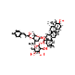 CC(=O)OC1C(OC(=O)/C=C/c2ccc(C)cc2)C(C)OC(OC(=O)[C@]23CCC(C)(C)C[C@H]2C2C=C[C@@H]4[C@@]5(C)CC[C@H](O)[C@@](C)(C=O)[C@@H]5CC[C@@]4(C)[C@]2(C)C[C@H]3O)[C@H]1OC1OC(C)C(O)C(O)C1O